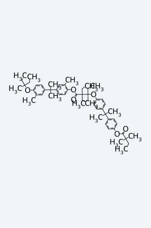 CCC(C)(CC)Oc1ccc(C(C)(C)c2ccc(OC(=O)C(CC)(CC)C(CC)(CC)Oc3ccc(C(C)(C)c4ccc(OC(=O)C(C)(C)CC)cc4)cc3)c(C)c2)cc1C